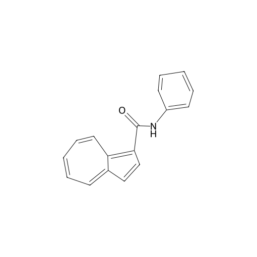 O=C(Nc1ccccc1)c1ccc2cccccc1-2